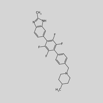 Cc1nc2ccc(-c3c(F)c(F)c(-c4ccc(CN5CCC(C)CC5)cc4)c(F)c3F)cc2[nH]1